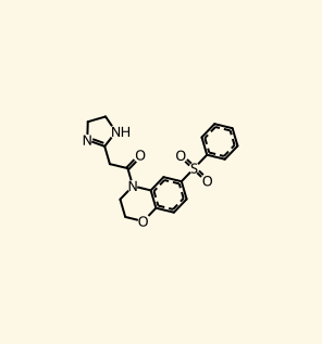 O=C(CC1=NCCN1)N1CCOc2ccc(S(=O)(=O)c3ccccc3)cc21